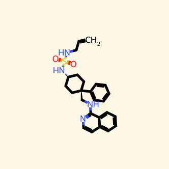 C=CCNS(=O)(=O)N[C@H]1CC[C@@](CNc2nccc3ccccc23)(c2ccccc2)CC1